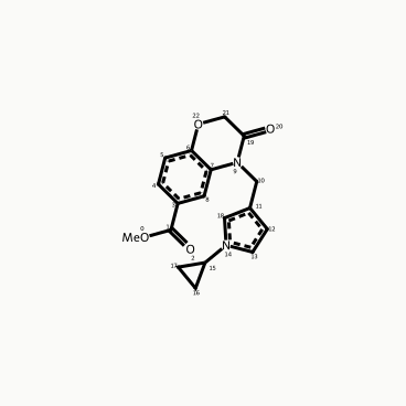 COC(=O)c1ccc2c(c1)N(Cc1ccn(C3CC3)c1)C(=O)CO2